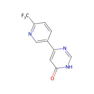 O=c1cc(-c2ccc(C(F)(F)F)nc2)nc[nH]1